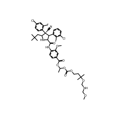 COCNCOC(C)(C)CCOC(=O)OC(C)OC(=O)c1ccc(NC(=O)C2NC(CC(C)(C)C)[C@](C#N)(c3ccc(Cl)cc3F)C2c2cccc(Cl)c2F)c(OC)c1